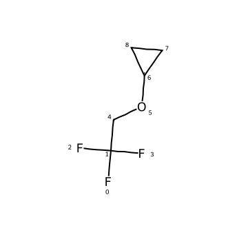 FC(F)(F)CO[C]1CC1